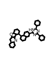 c1ccc(C2=NC(c3ccccc3)NC(c3ccc4c(-c5cccc6oc7cc8ccccc8nc7c56)cccc4c3)=N2)cc1